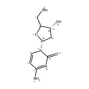 CC(C)(C)CC1O[C@@H](n2ccc(N)nc2=O)C[C@H]1O